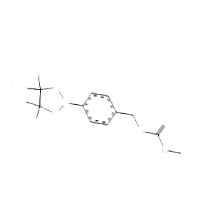 CC(C)NC(=O)OCc1ccc(B2OC(C)(C)C(C)(C)O2)cc1